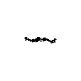 C=C(C)C(=O)OCCOc1ccc(-c2ccc3cc(SC(=O)c4ccc(OCCCOC(=O)C(=C)CC(=O)OC)cc4)ccc3c2)cc1